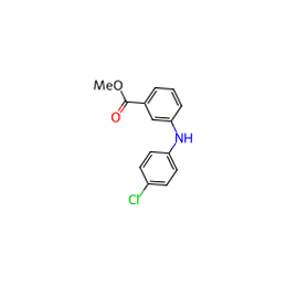 COC(=O)c1cccc(Nc2ccc(Cl)cc2)c1